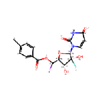 Cc1ccc(C(=O)OC(I)[C@H]2O[C@@H](n3ccc(=O)[nH]c3=O)[C@@](O)(F)[C@@H]2O)cc1